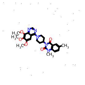 COc1cc2c(N3CCC(n4c(=O)c5cc(C)ccc5n(C)c4=O)CC3)ncnc2c(OC)c1OC